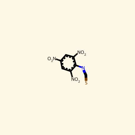 O=[N+]([O-])c1cc([N+](=O)[O-])c(N=C=S)c([N+](=O)[O-])c1